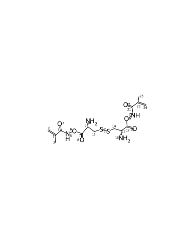 C=C(C)C(=O)NOC(=O)[C@@H](N)CSSC[C@H](N)C(=O)ONC(=O)C(=C)C